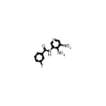 Nc1c(NC(=O)c2cccc(F)c2)cncc1[N+](=O)[O-]